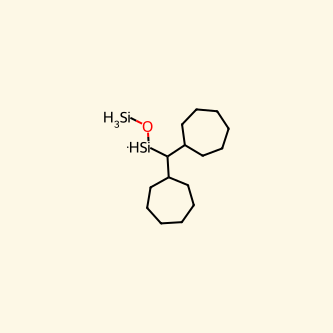 [SiH3]O[SiH]C(C1CCCCCC1)C1CCCCCC1